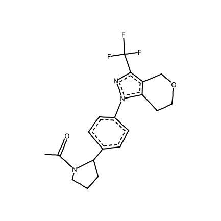 CC(=O)N1CCCC1c1ccc(-n2nc(C(F)(F)F)c3c2CCOC3)cc1